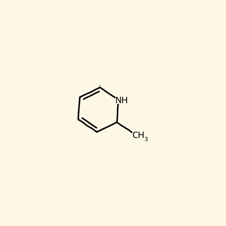 CC1C=CC=[C]N1